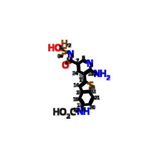 C[SH](C)(O)=NC(=O)c1cnc(N)c(-c2cc3cc(NC(=O)O)ccc3s2)c1